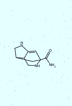 NC(=O)C12C=C3NCC(C1)C3CN2